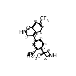 CC(C)c1cc(C2=C3CC=C(C(F)(F)F)C=C3ONC2)ccc1C1(C(=O)O)CNC1